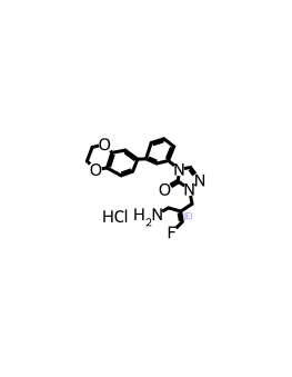 Cl.NC/C(=C\F)Cn1ncn(-c2cccc(-c3ccc4c(c3)OCCO4)c2)c1=O